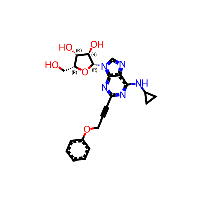 OC[C@H]1O[C@@H](n2cnc3c(NC4CC4)nc(C#CCOc4ccccc4)nc32)[C@H](O)[C@H]1O